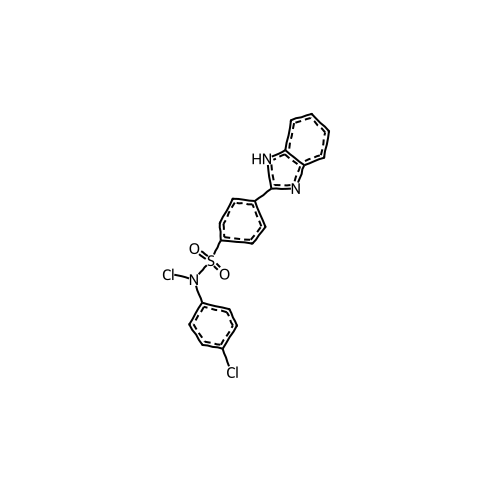 O=S(=O)(c1ccc(-c2nc3ccccc3[nH]2)cc1)N(Cl)c1ccc(Cl)cc1